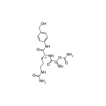 CC(C)(C)[C@H](OC(N)=O)C(=O)N[C@@H](CCCNC(N)=O)C(=O)Nc1ccc(CO)cc1